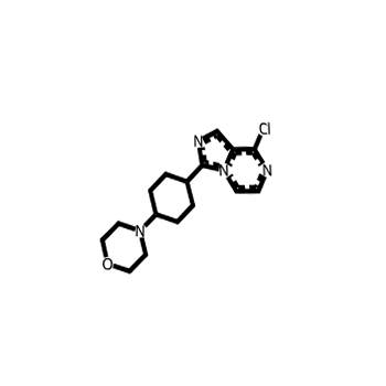 Clc1nccn2c(C3CCC(N4CCOCC4)CC3)ncc12